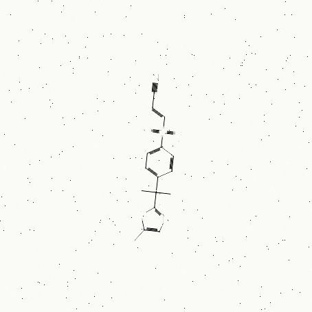 Cc1cnc(C(C)(C)c2ccc(S(=O)(=O)C=CC#N)cc2)o1